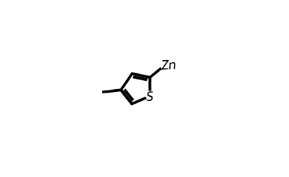 Cc1cs[c]([Zn])c1